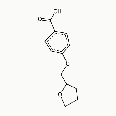 O=C(O)c1ccc(OCC2CCCO2)cc1